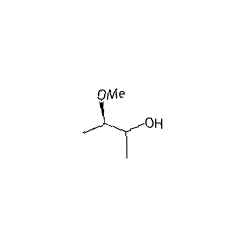 CO[C@H](C)C(C)O